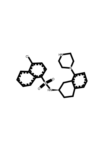 O=S(=O)(N[C@@H]1CCc2cccc(N3CCNCC3)c2C1)c1ccc(Cl)c2ccccc12